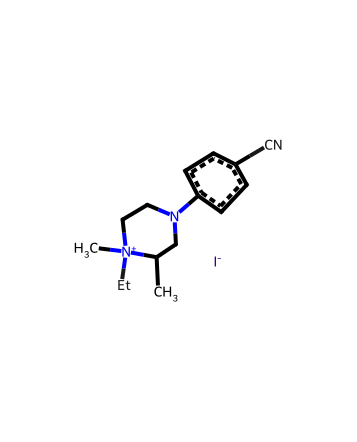 CC[N+]1(C)CCN(c2ccc(C#N)cc2)CC1C.[I-]